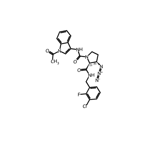 CC(=O)n1cc(NC(=O)N2CC[C@@H](N=[N+]=[N-])[C@H]2C(=O)NCc2cccc(Cl)c2F)c2ccccc21